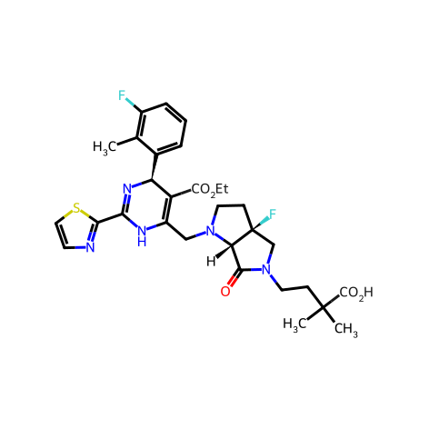 CCOC(=O)C1=C(CN2CC[C@]3(F)CN(CCC(C)(C)C(=O)O)C(=O)[C@H]23)NC(c2nccs2)=N[C@H]1c1cccc(F)c1C